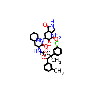 Cc1cccc(C(OC(=O)NC(CC2CCCCC2)C(=O)NC(CC2CCNC2=O)C(=O)C(N)=O)C(C)(C)c2cccc(Cl)c2)c1